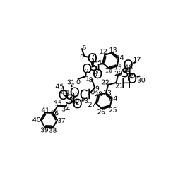 CCO[Si](OCC)(OCCCl)c1ccccc1.CO[SiH](CCCc1ccccc1)OC.CO[Si](CCc1ccccc1)(OC)OC